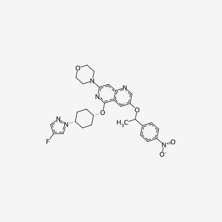 CC(Oc1cnc2cc(N3CCOCC3)nc(O[C@H]3CC[C@@H](n4cc(F)cn4)CC3)c2c1)c1ccc([N+](=O)[O-])cc1